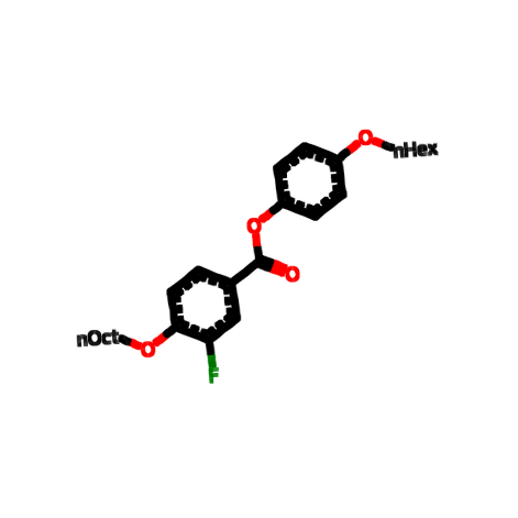 CCCCCCCCOc1ccc(C(=O)Oc2ccc(OCCCCCC)cc2)cc1F